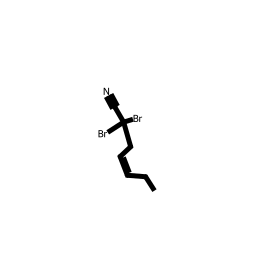 CC/C=C\CC(Br)(Br)C#N